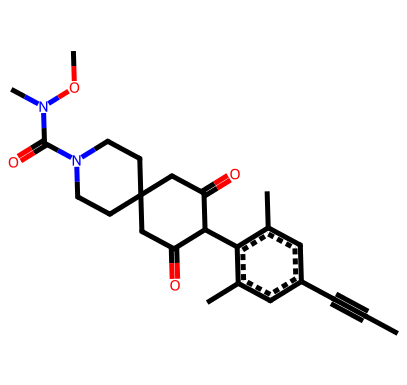 CC#Cc1cc(C)c(C2C(=O)CC3(CCN(C(=O)N(C)OC)CC3)CC2=O)c(C)c1